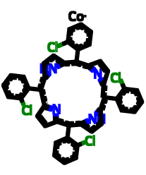 Clc1ccccc1-c1c2nc(c(-c3ccccc3Cl)c3ccc([nH]3)c(-c3ccccc3Cl)c3nc(c(-c4ccccc4Cl)c4ccc1[nH]4)C=C3)C=C2.[Co]